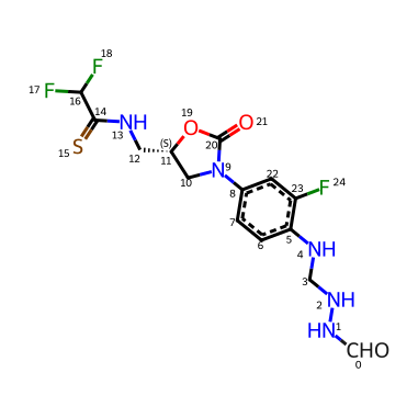 O=CNNCNc1ccc(N2C[C@H](CNC(=S)C(F)F)OC2=O)cc1F